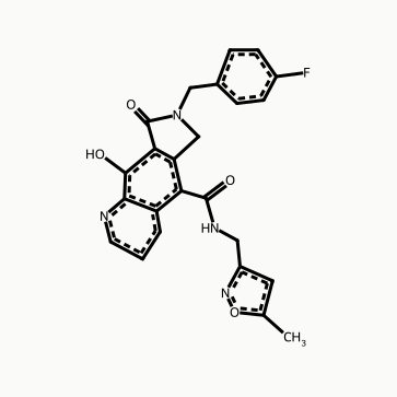 Cc1cc(CNC(=O)c2c3c(c(O)c4ncccc24)C(=O)N(Cc2ccc(F)cc2)C3)no1